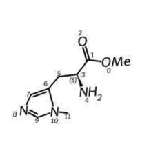 COC(=O)[C@@H](N)Cc1cncn1C